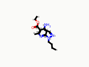 CCCCn1ncc2c(N)c(C(=O)OCC)c(C)nc21